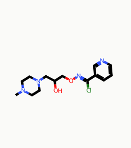 CN1CCN(CC(O)CON=C(Cl)c2cccnc2)CC1